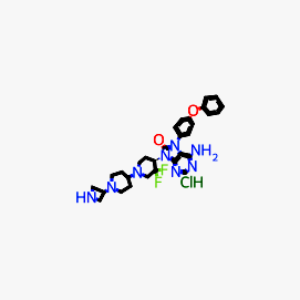 Cl.Nc1ncnc2c1n(-c1ccc(Oc3ccccc3)cc1)c(=O)n2[C@H]1CCN(C2CCN(C3CNC3)CC2)CC1(F)F